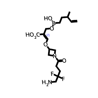 C=CC(C)CCB(O)OC/C(=C/OC1CN(C(=O)CCC(F)(F)CN)C1)C(=O)O